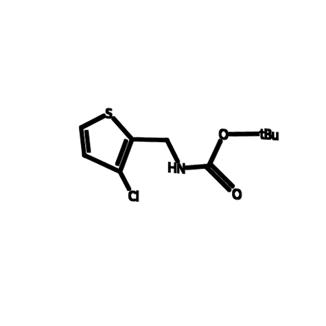 CC(C)(C)OC(=O)NCc1sccc1Cl